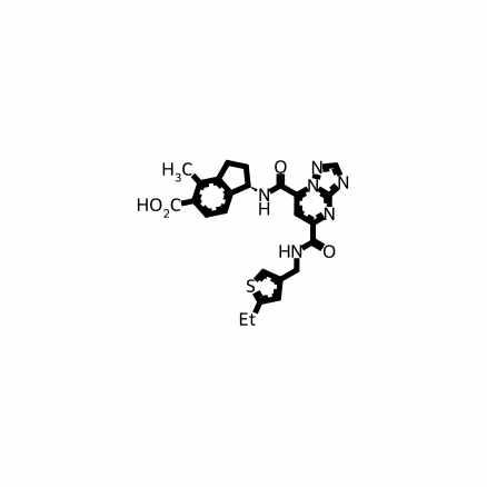 CCc1cc(CNC(=O)c2cc(C(=O)N[C@H]3CCc4c3ccc(C(=O)O)c4C)n3ncnc3n2)cs1